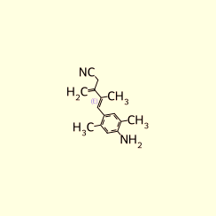 C=C(CC#N)/C(C)=C/c1cc(C)c(N)cc1C